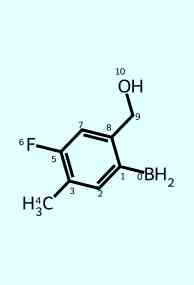 Bc1cc(C)c(F)cc1CO